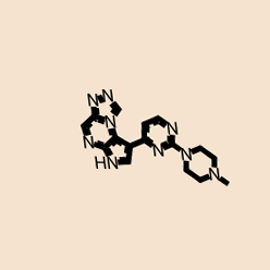 CN1CCN(c2nccc(-c3c[nH]c4ncc5nncn5c34)n2)CC1